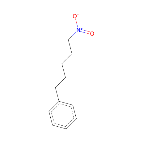 O=[N+]([O-])CCCCCc1ccccc1